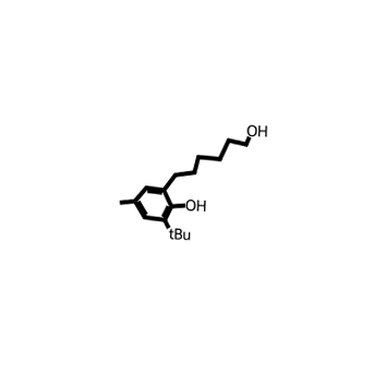 Cc1cc(CCCCCCO)c(O)c(C(C)(C)C)c1